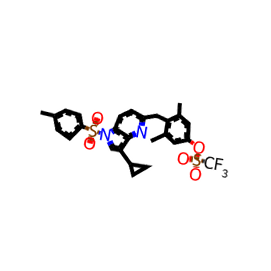 Cc1ccc(S(=O)(=O)n2cc(C3CC3)c3nc(Cc4c(C)cc(OS(=O)(=O)C(F)(F)F)cc4C)ccc32)cc1